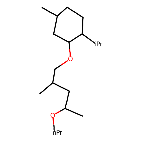 CCCOC(C)CC(C)COC1CC(C)CCC1C(C)C